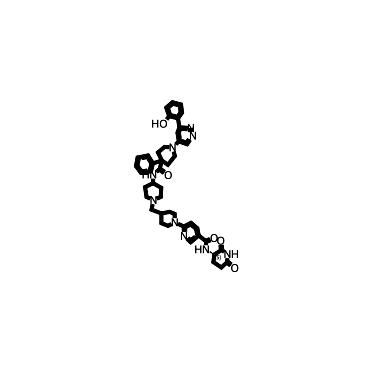 O=C1CC[C@H](NC(=O)c2ccc(N3CCC(CN4CCC(NC(=O)C5(c6ccccc6)CCN(c6cnnc(-c7ccccc7O)c6)CC5)CC4)CC3)nc2)C(=O)N1